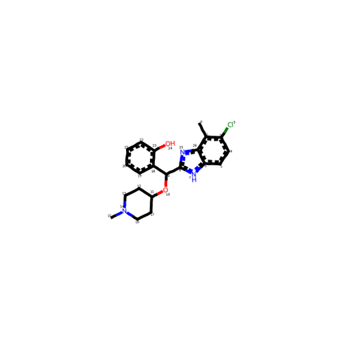 Cc1c(Cl)ccc2[nH]c(C(OC3CCN(C)CC3)c3ccccc3O)nc12